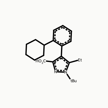 CCc1c(-c2ccccc2C2CCCCC2)c(C(=O)O)nn1C(C)(C)C